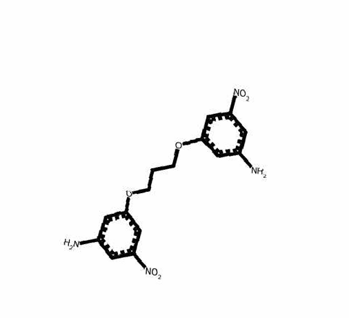 Nc1cc(OCCCOc2cc(N)cc([N+](=O)[O-])c2)cc([N+](=O)[O-])c1